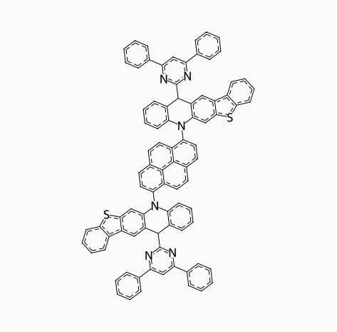 c1ccc(-c2cc(-c3ccccc3)nc(C3c4ccccc4N(c4ccc5ccc6c(N7c8ccccc8C(c8nc(-c9ccccc9)cc(-c9ccccc9)n8)c8cc9c(cc87)sc7ccccc79)ccc7ccc4c5c76)c4cc5sc6ccccc6c5cc43)n2)cc1